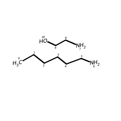 CCCCCCN.NCCO